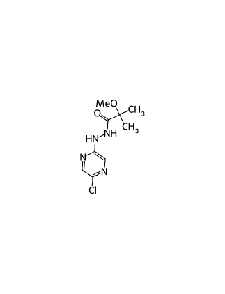 COC(C)(C)C(=O)NNc1cnc(Cl)cn1